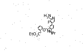 CCOC(=O)Cc1ccccc1OCc1nn(C(C)C)c2ccc(-c3ccnc(CN)c3F)cc12